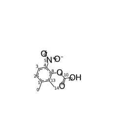 Cc1ccc([N+](=O)[O-])c(OC(=O)O)c1C